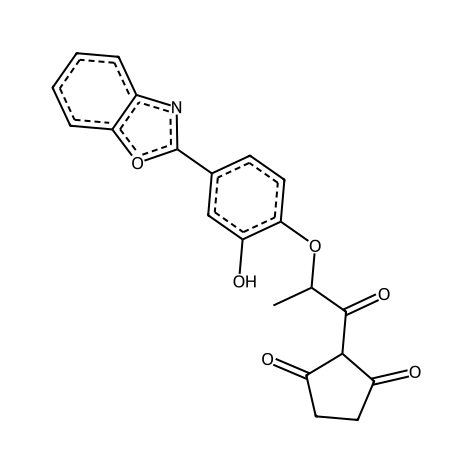 CC(Oc1ccc(-c2nc3ccccc3o2)cc1O)C(=O)C1C(=O)CCC1=O